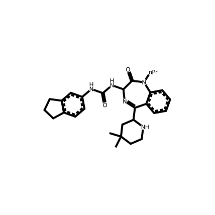 CCCN1C(=O)C(NC(=O)Nc2ccc3c(c2)CCC3)N=C(C2CC(C)(C)CCN2)c2ccccc21